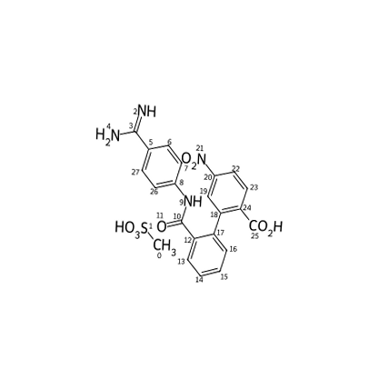 CS(=O)(=O)O.N=C(N)c1ccc(NC(=O)c2ccccc2-c2cc([N+](=O)[O-])ccc2C(=O)O)cc1